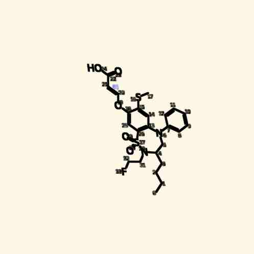 CCCCC1CN(c2ccccc2)c2cc(SC)c(O/C=C/C(=O)O)cc2S(=O)(=O)N1CCF